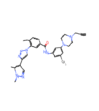 C#CCN1CCN(c2cc(NC(=O)c3ccc(C)c(-n4cc(-c5cnn(C)c5C)nn4)c3)cc(C(F)(F)F)c2)CC1